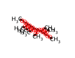 CCCOCCOCCOCC(COCC(COCC(COC1CC(OCC(COCC(COCCOCCOCCC)OCCOCCC)OCCOCCC)C1OCCOCCC)OCCOCCC)OCCOCCC)OCCOCCC